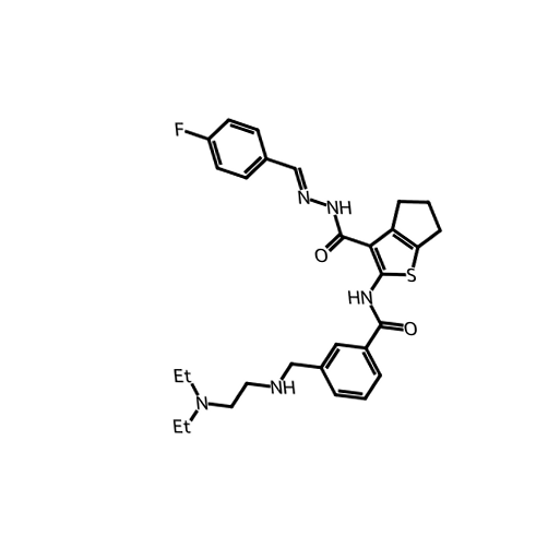 CCN(CC)CCNCc1cccc(C(=O)Nc2sc3c(c2C(=O)NN=Cc2ccc(F)cc2)CCC3)c1